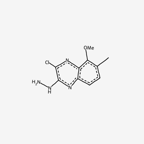 COc1c(C)ccc2nc(NN)c(Cl)nc12